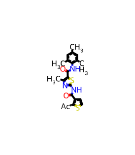 CC(=O)c1sccc1C(=O)Nc1nc(C)c(C(=O)Nc2c(C)cc(C)cc2C)s1